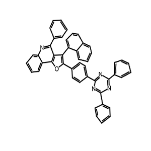 c1ccc(-c2nc(-c3ccccc3)nc(-c3ccc(-c4oc5c(c(-c6ccccc6)nc6ccccc65)c4-c4cccc5ccccc45)cc3)n2)cc1